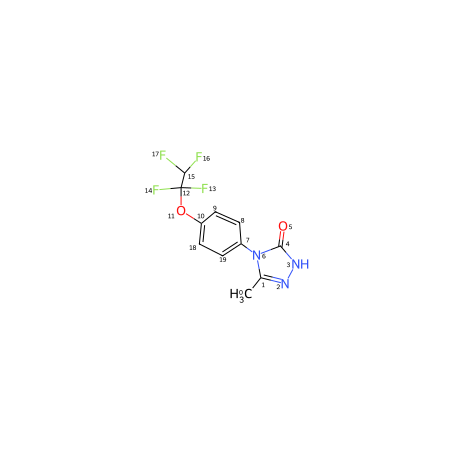 Cc1n[nH]c(=O)n1-c1ccc(OC(F)(F)C(F)F)cc1